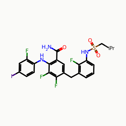 CC(C)CS(=O)(=O)Nc1cccc(Cc2cc(C(N)=O)c(Nc3ccc(I)cc3F)c(F)c2F)c1F